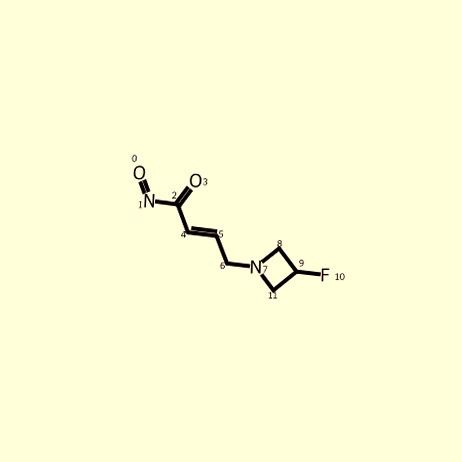 O=NC(=O)/C=C/CN1CC(F)C1